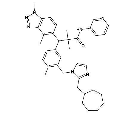 Cc1ccc(C(c2ccc3c(nnn3C)c2C)C(C)(C)C(=O)Nc2cccnc2)cc1Cn1ccnc1CC1CCCCCC1